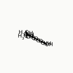 CNC(=O)[C@@H](NC(=O)CCOCCOCCOCCOCCOCCOCCNCO)C(C)C